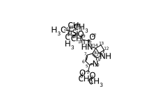 COC(OC)c1ccc2c(n1)NC1CC2(NC(=O)CO[Si](C)(C)C(C)(C)C)C1